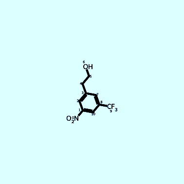 O=[N+]([O-])c1cc(CCO)cc(C(F)(F)F)c1